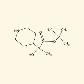 CC(C)(C)OC(=O)C(C)(O)C1CCNCC1